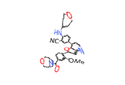 COc1cc(C(=O)N2C3CCC2COC3)ccc1-c1cc2nccc(-c3ccc(NC4CCOCC4)c(C#N)c3)c2o1